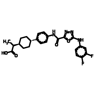 CC(C(=O)O)[C@H]1CC[C@H](c2ccc(NC(=O)c3nnc(Nc4ccc(F)c(F)c4)o3)cc2)CC1